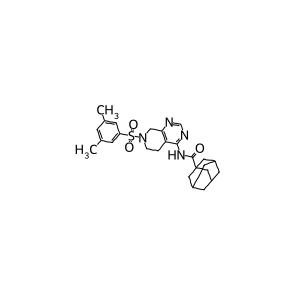 Cc1cc(C)cc(S(=O)(=O)N2CCc3c(ncnc3NC(=O)C34CC5CC(CC(C5)C3)C4)C2)c1